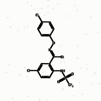 CC/C(=N\Oc1ccc(Cl)cc1)c1cc(Cl)ccc1NS(=O)(=O)C(F)(F)F